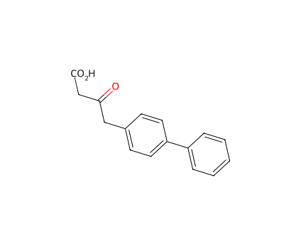 O=C(O)CC(=O)Cc1ccc(-c2ccccc2)cc1